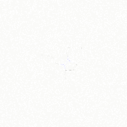 C=CCN1C(C)C=C(C)N1C.CS(=O)(=O)O